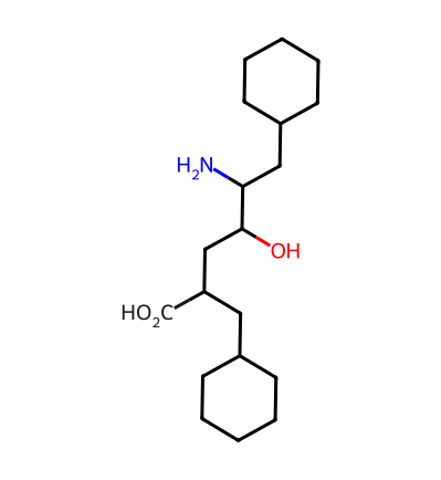 NC(CC1CCCCC1)C(O)CC(CC1CCCCC1)C(=O)O